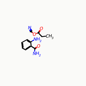 CCC(=O)OC#N.NC(=O)c1ccccc1N